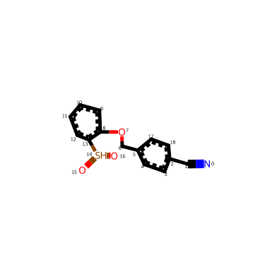 N#Cc1ccc(COc2ccccc2[SH](=O)=O)cc1